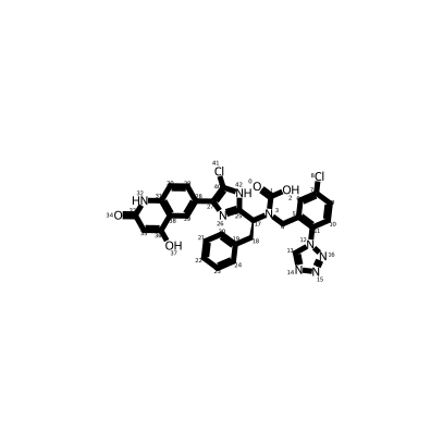 O=C(O)N(Cc1cc(Cl)ccc1-n1cnnn1)[C@@H](Cc1ccccc1)c1nc(-c2ccc3[nH]c(=O)cc(O)c3c2)c(Cl)[nH]1